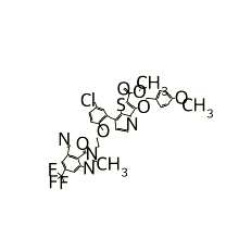 COC(=O)c1sc2c(-c3cc(Cl)ccc3OCCn3c(C)nc4cc(C(F)(F)F)cc(C#N)c4c3=O)ccnc2c1OCc1ccc(OC)cc1